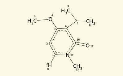 [2H]c1cc(OC)c(C(C)C)c(=O)n1C